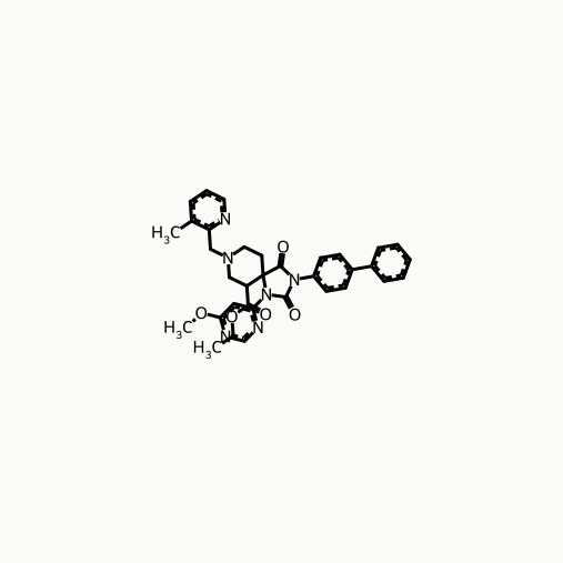 CCOC(=O)C1CN(Cc2ncccc2C)CCC12C(=O)N(c1ccc(-c3ccccc3)cc1)C(=O)N2c1cc(OC)ncn1